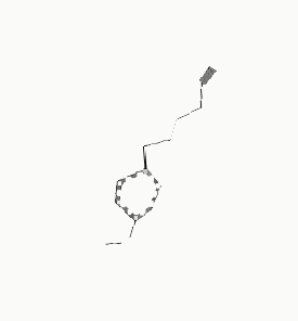 [C]#CCCCCc1ccc(SC)cc1